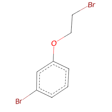 BrCCOc1cccc(Br)c1